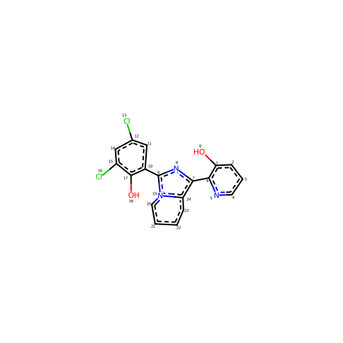 Oc1cccnc1-c1nc(-c2cc(Cl)cc(Cl)c2O)n2ccccc12